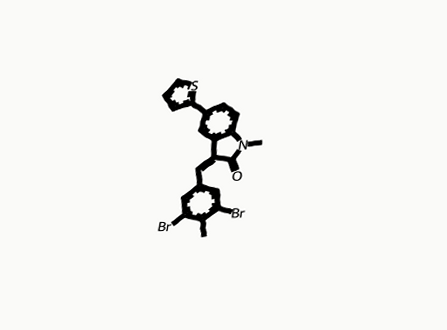 Cc1c(Br)cc(/C=C2\C(=O)N(C)c3ccc(-c4cccs4)cc32)cc1Br